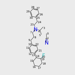 CC#N.CC(C)N(CCCc1ccc(C2CCCCC2F)cc1)CCc1ccccc1